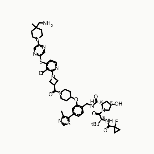 Cc1ncsc1-c1ccc(CNC(=O)[C@@H]2C[C@@H](O)CN2C(=O)[C@@H](NC(=O)C2(F)CC2)C(C)(C)C)c(OC2CCN(C(=O)C3CN(c4nccc(Sc5cnc(N6CCC(C)(CN)CC6)cn5)c4Cl)C3)CC2)c1